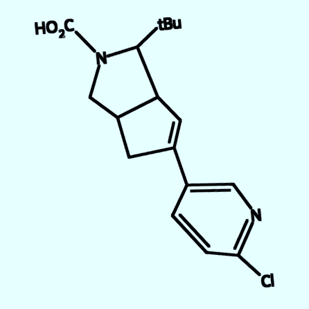 CC(C)(C)C1C2C=C(c3ccc(Cl)nc3)CC2CN1C(=O)O